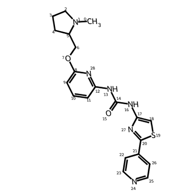 CN1CCCC1COc1cccc(NC(=O)Nc2csc(-c3ccncc3)n2)n1